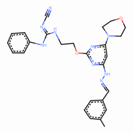 Cc1cccc(/C=N/Nc2cc(N3CCOCC3)nc(OCCN/C(=N\C#N)Nc3ccccc3)n2)c1